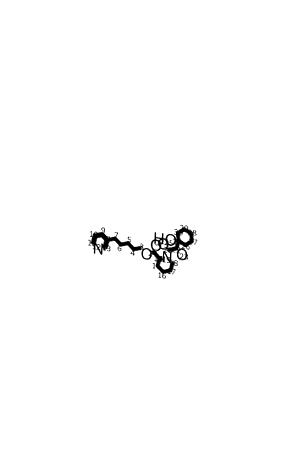 O=C(OCCCCCc1cccnc1)C1CCCCN1C(=O)C(=O)C1(O)CCCCC1